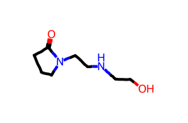 O=C1CCCN1CCNCCO